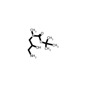 CN(CC(O)CN)C(=O)OC(C)(C)C